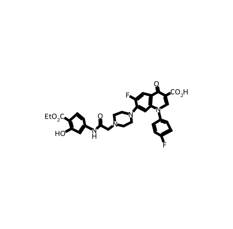 CCOC(=O)c1ccc(NC(=O)CN2CCN(c3cc4c(cc3F)c(=O)c(C(=O)O)cn4-c3ccc(F)cc3)CC2)cc1O